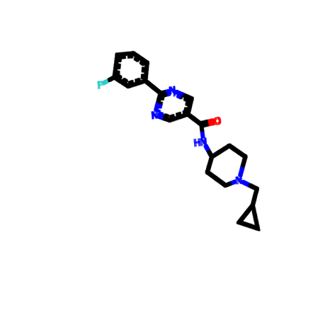 O=C(NC1CCN(CC2CC2)CC1)c1cnc(-c2cccc(F)c2)nc1